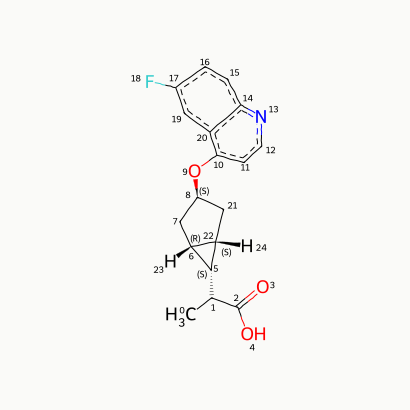 CC(C(=O)O)[C@@H]1[C@@H]2C[C@@H](Oc3ccnc4ccc(F)cc34)C[C@@H]21